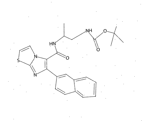 CC(CNC(=O)OC(C)(C)C)NC(=O)c1c(-c2ccc3ccccc3c2)nc2sccn12